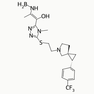 BN/C(C)=C(\O)c1nnc(SCCN2CC[C@]3(C[C@@H]3c3ccc(C(F)(F)F)cc3)C2)n1C